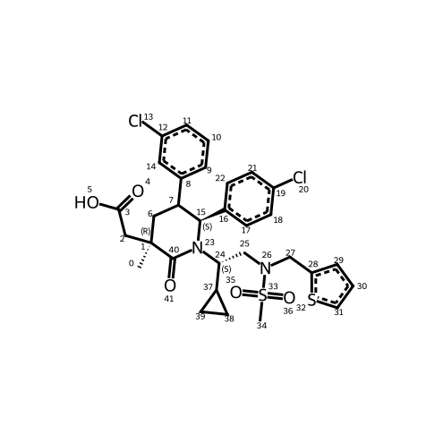 C[C@]1(CC(=O)O)CC(c2cccc(Cl)c2)[C@@H](c2ccc(Cl)cc2)N([C@H](CN(Cc2cccs2)S(C)(=O)=O)C2CC2)C1=O